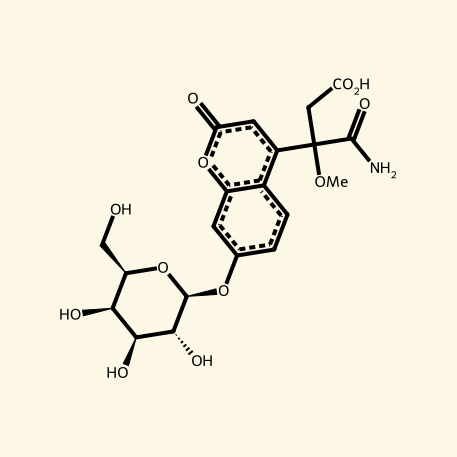 COC(CC(=O)O)(C(N)=O)c1cc(=O)oc2cc(O[C@@H]3O[C@H](CO)[C@H](O)[C@H](O)[C@H]3O)ccc12